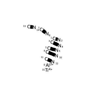 [Al+3].[C-]#N.[C-]#N.[C-]#N.[C-]#N.[C-]#N.[C-]#N.[C-]#N.[Ti+4]